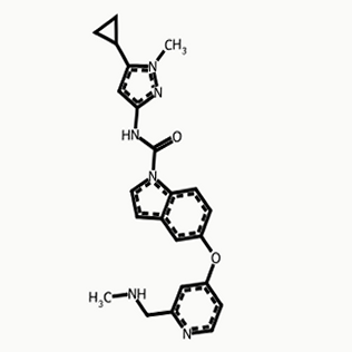 CNCc1cc(Oc2ccc3c(ccn3C(=O)Nc3cc(C4CC4)n(C)n3)c2)ccn1